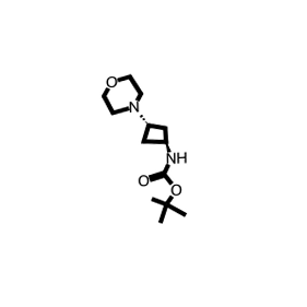 CC(C)(C)OC(=O)N[C@H]1C[C@H](N2CCOCC2)C1